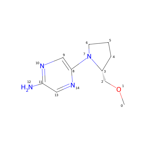 COC[C@H]1CCCN1c1cnc(N)cn1